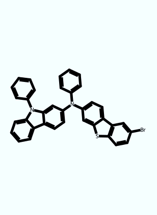 Brc1ccc2sc3cc(N(c4ccccc4)c4ccc5c6ccccc6n(-c6ccccc6)c5c4)ccc3c2c1